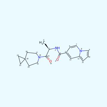 C[C@@H](NC(=O)c1ccn2cccc2c1)C(=O)N1CCC2(CC1)CC2